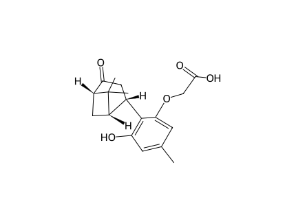 Cc1cc(O)c([C@H]2CC(=O)[C@H]3C[C@@H]2C3(C)C)c(OCC(=O)O)c1